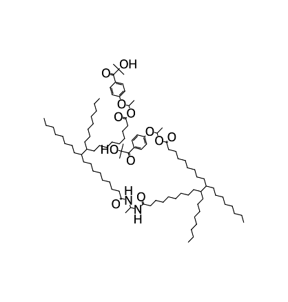 CCCCCCCCC(CCCCCCCCC(=O)NC(C)NC(=O)CCCCCCCCC(CCCCCCCC)C(CCCCCCCC)CCCCCCCCC(=O)OC(C)Oc1ccc(C(=O)C(C)(C)O)cc1)C(CCCCCCCC)CCCCCCCCC(=O)OC(C)Oc1ccc(C(=O)C(C)(C)O)cc1